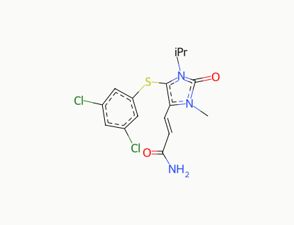 CC(C)n1c(Sc2cc(Cl)cc(Cl)c2)c(C=CC(N)=O)n(C)c1=O